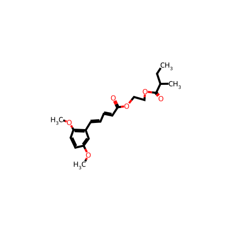 CCC(C)C(=O)OCCOC(=O)/C=C/C=C/c1cc(OC)ccc1OC